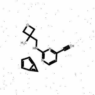 C#Cc1ccnc(NCC2(C)COC2)n1.c1cc2cc-2c1